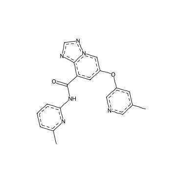 Cc1cncc(Oc2cc(C(=O)Nc3cccc(C)n3)c3ncnn3c2)c1